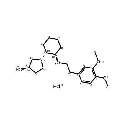 COc1ccc(CCO[C@@H]2CCCC[C@H]2N2CC[C@@H](O)C2)cc1OC.Cl